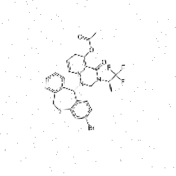 CC(=O)OC1=C2C(=O)N([C@H](C)C(F)(F)F)CN([C@H]3c4ccccc4CSc4cc(Br)ccc43)N2C=CC1